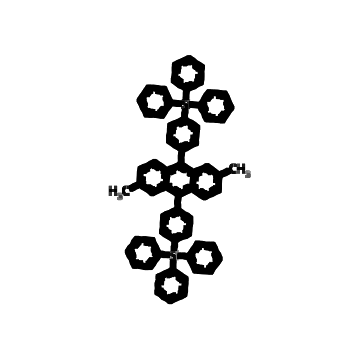 Cc1ccc2c(-c3ccc([Si](c4ccccc4)(c4ccccc4)c4ccccc4)cc3)c3cc(C)ccc3c(-c3ccc([Si](c4ccccc4)(c4ccccc4)c4ccccc4)cc3)c2c1